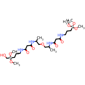 CO[Si](CO)(CCCNC(=O)CC(=O)NC(C)COCC(C)NC(=O)CC(=O)NCCC[Si](OC)(OC)OC)OC